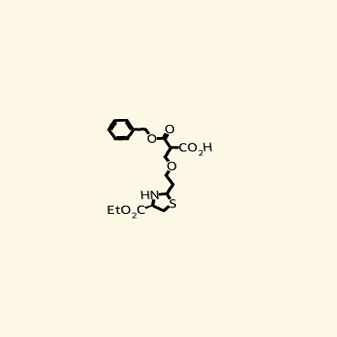 CCOC(=O)[C@@H]1CSC(CCOCC(C(=O)O)C(=O)OCc2ccccc2)N1